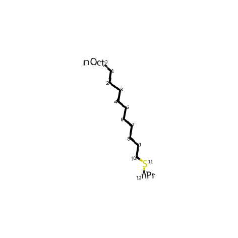 CCCCCCCCCCCCCCCCC[CH]SCCC